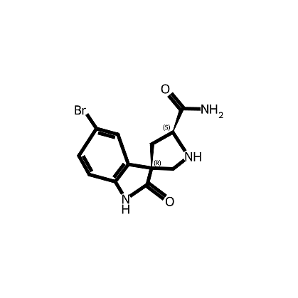 NC(=O)[C@@H]1C[C@@]2(CN1)C(=O)Nc1ccc(Br)cc12